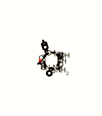 CC(C)C[C@H]1C(=O)N[C@@H](C2CCCCC2)C(=O)N[C@@H](CN)C(=O)N[C@@H]([C@H](C)O)C(=O)N[C@H](C)CO[C@H](CC2(C)CC3CC(C)CC(C3)C2)[C@@H](C)C(=O)N1C